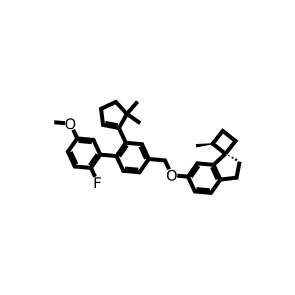 COc1ccc(F)c(-c2ccc(COc3ccc4c(c3)[C@]3(CC4)CC[C@@H]3C)cc2C2=CCCC2(C)C)c1